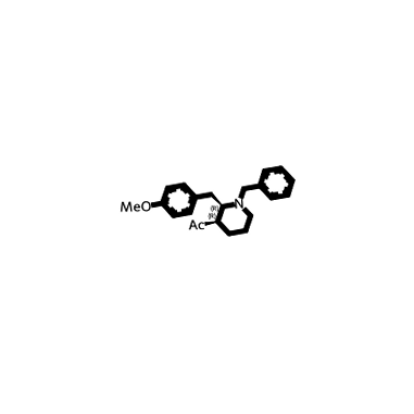 COc1ccc(C[C@@H]2[C@H](C(C)=O)CCCN2Cc2ccccc2)cc1